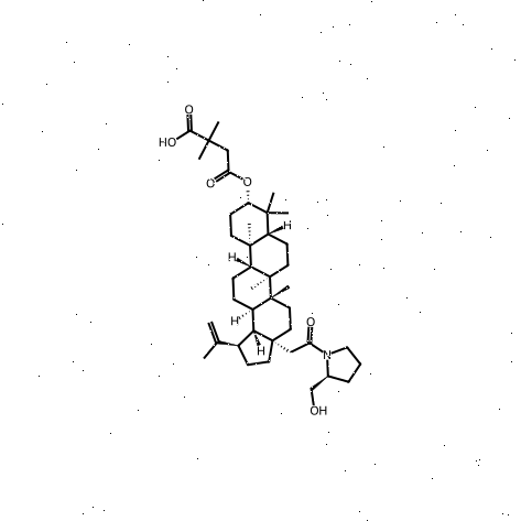 C=C(C)[C@@H]1CC[C@]2(CC(=O)N3CCC[C@H]3CO)CC[C@]3(C)[C@H](CC[C@@H]4[C@@]5(C)CC[C@H](OC(=O)CC(C)(C)C(=O)O)C(C)(C)[C@@H]5CC[C@]43C)[C@@H]12